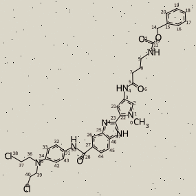 Cn1cc(NC(=O)CCCNC(=O)OCc2ccccc2)cc1-c1nc2cc(C(=O)Nc3ccc(N(CCCl)CCCl)cc3)ccc2[nH]1